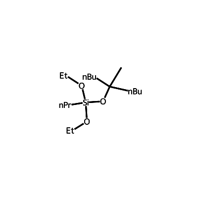 CCCCC(C)(CCCC)O[Si](CCC)(OCC)OCC